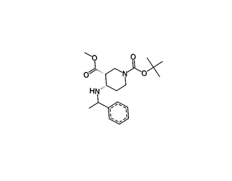 COC(=O)[C@@H]1CN(C(=O)OC(C)(C)C)CC[C@@H]1NC(C)c1ccccc1